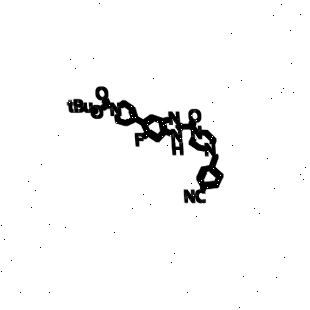 CC(C)(C)OC(=O)N1CC=C(c2cc3nc(C(=O)N4CCN(Cc5ccc(C#N)cc5)CC4)[nH]c3cc2F)CC1